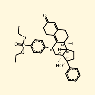 CCOP(=O)(OCC)c1ccc([C@H]2C[C@@]3(C)[C@@H](CC[C@@]3(O)c3ccccc3)[C@@H]3CCC4=CC(=O)CCC4=C32)cc1